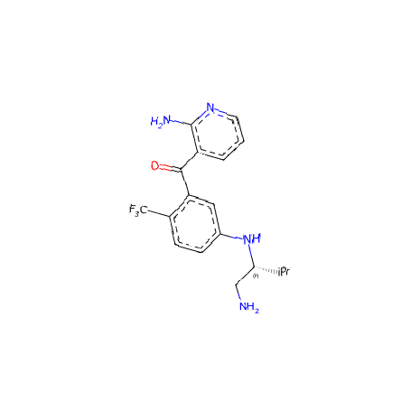 CC(C)[C@H](CN)Nc1ccc(C(F)(F)F)c(C(=O)c2cccnc2N)c1